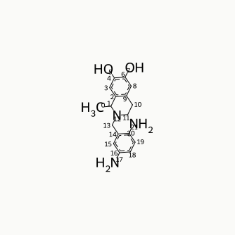 CC1c2cc(O)c(O)cc2CCN1Cc1cc(N)ccc1N